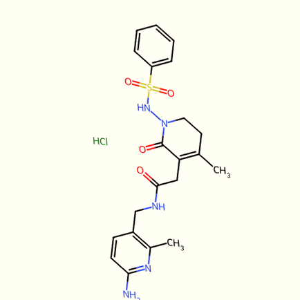 CC1=C(CC(=O)NCc2ccc(N)nc2C)C(=O)N(NS(=O)(=O)c2ccccc2)CC1.Cl